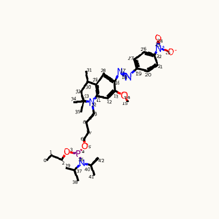 CCCOP(OCCCCN1c2cc(OC)c(/N=N/c3ccc([N+](=O)[O-])cc3)cc2C(C)CC1(C)C)N(C(C)C)C(C)C